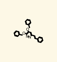 C(=Cc1cc(OCc2ccccc2)c(OCc2ccccc2)nn1)c1ccccc1